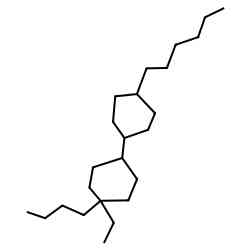 CCCCCCC1CCC(C2CCC(CC)(CCCC)CC2)CC1